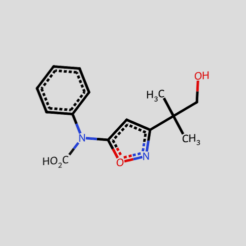 CC(C)(CO)c1cc(N(C(=O)O)c2ccccc2)on1